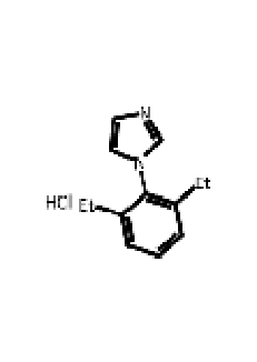 CCc1cccc(CC)c1-n1ccnc1.Cl